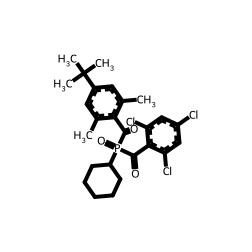 Cc1cc(C(C)(C)C)cc(C)c1C(=O)P(=O)(C(=O)c1c(Cl)cc(Cl)cc1Cl)C1CCCCC1